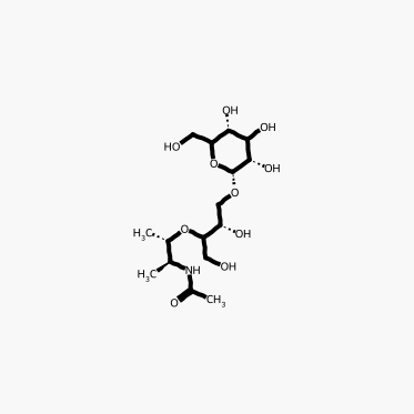 CC(=O)N[C@@H](C)[C@H](C)OC(CO)[C@@H](O)CO[C@@H]1OC(CO)[C@H](O)C(O)[C@@H]1O